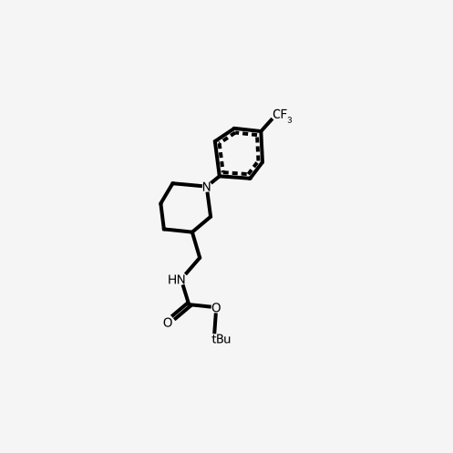 CC(C)(C)OC(=O)NCC1CCCN(c2ccc(C(F)(F)F)cc2)C1